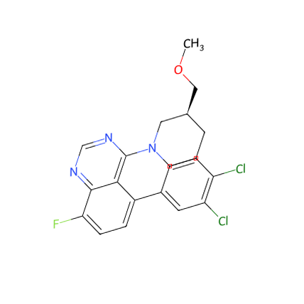 COC[C@H]1CCCN(c2ncnc3c(F)ccc(-c4ccc(Cl)c(Cl)c4)c23)C1